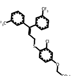 O=C(O)COc1ccc(SCC=C(c2cccc(C(F)(F)F)c2)c2cccc(C(F)(F)F)c2)c(Cl)c1